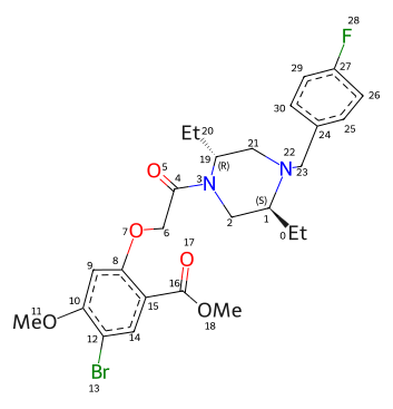 CC[C@H]1CN(C(=O)COc2cc(OC)c(Br)cc2C(=O)OC)[C@H](CC)CN1Cc1ccc(F)cc1